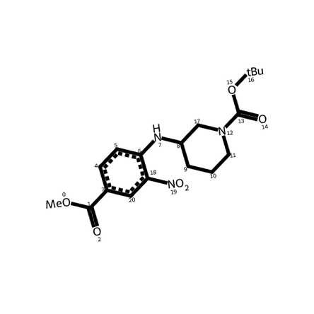 COC(=O)c1ccc(NC2CCCN(C(=O)OC(C)(C)C)C2)c([N+](=O)[O-])c1